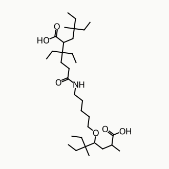 CCC(C)(CC)CC(C(=O)O)C(CC)(CC)CCC(=O)NCCCCCOC(CC(C)C(=O)O)C(C)(CC)CC